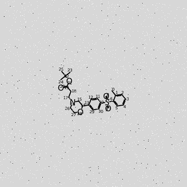 Cc1ccccc1S(=O)(=O)c1ccc(C2CN(CCC(=O)OC(C)(C)C)CCO2)cc1